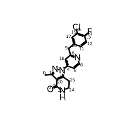 Cc1nn(-c2ccnc(Cc3ccc(F)c(Cl)c3)c2)c2c1C(=O)NCC2